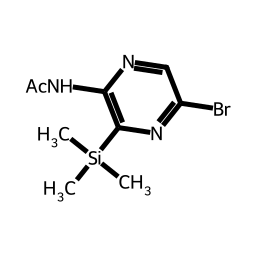 CC(=O)Nc1ncc(Br)nc1[Si](C)(C)C